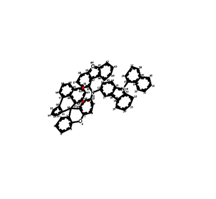 c1ccc2c(c1)Oc1ccc(N(c3ccc4c(c3)c3ccccc3n4-c3cccc4ccccc34)c3cccc4oc5ccccc5c34)cc1C21c2ccccc2-c2cccc3cccc1c23